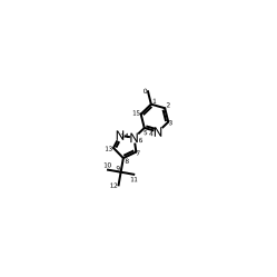 Cc1ccnc(-n2cc(C(C)(C)C)cn2)c1